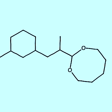 CC1CCCC(CC(C)C2OCCCCCO2)C1